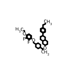 C=C(OC1CCC2CC(c3ccc(CCC)cc3)CCC2C1)C1CCC(COc2ccc(OCC)c(F)c2F)CC1